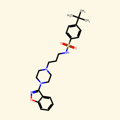 CC(C)(C)c1ccc(S(=O)(=O)NCCCN2CCN(c3noc4ccccc34)CC2)cc1